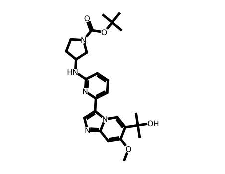 COc1cc2ncc(-c3cccc(NC4CCN(C(=O)OC(C)(C)C)C4)n3)n2cc1C(C)(C)O